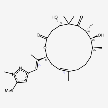 CSc1cc(/C=C(\C)[C@@H]2C/C=C(/C)CCC[C@H](C)[C@H](O)[C@@H](C)C(=O)C(C)(C)[C@@H](O)CC(=O)O2)nn1C